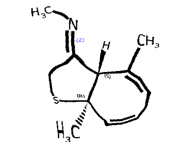 C/N=C1\CS[C@]2(C)C=CC=C(C)[C@@H]12